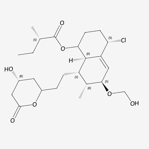 CC[C@H](C)C(=O)OC1CC[C@H](Cl)C2=C[C@@H](OCO)[C@H](C)[C@H](CCC3C[C@@H](O)CC(=O)O3)[C@H]21